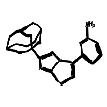 Nc1cccc(-c2csc3nc(C45CC6CC(CC(C6)C4)C5)cn23)c1